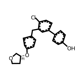 Oc1ccc(-c2ccc(Cl)c(Cc3ccc(O[C@@H]4CCOC4)cc3)c2)cc1